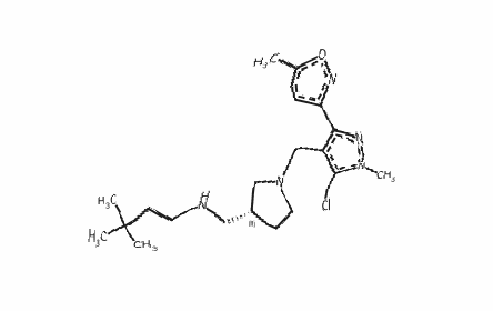 Cc1cc(-c2nn(C)c(Cl)c2CN2CC[C@H](CNCCC(C)(C)C)C2)no1